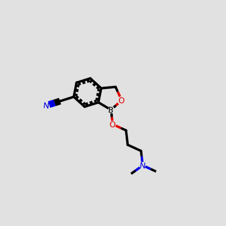 CN(C)CCCOB1OCc2ccc(C#N)cc21